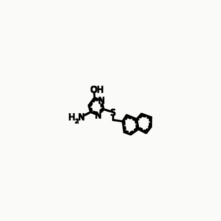 Nc1cc(O)nc(SCc2ccc3ccccc3c2)n1